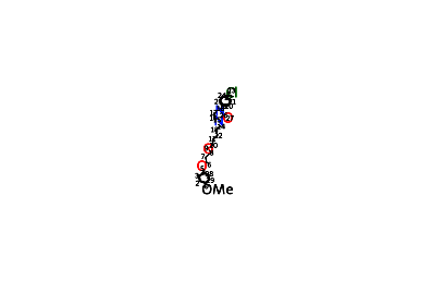 COc1ccc(OCCCOCCCCCN2CCN(c3ccc(Cl)cc3)C2=O)cc1